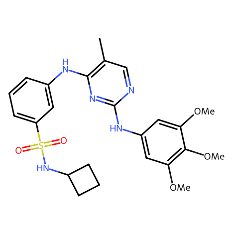 COc1cc(Nc2ncc(C)c(Nc3cccc(S(=O)(=O)NC4CCC4)c3)n2)cc(OC)c1OC